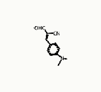 CN(C)c1ccc(/C=C(/[C]=O)C#N)cc1